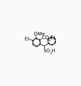 CCOC(=O)c1c(C(c2ccccc2)S(=O)(=O)O)ccc(CC)c1OC